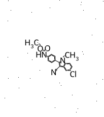 CCOC(=O)Nc1ccc(-c2c(C#N)c3cc(Cl)ccc3n2CC)cc1